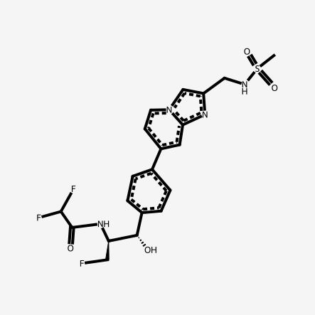 CS(=O)(=O)NCc1cn2ccc(-c3ccc([C@H](O)[C@@H](CF)NC(=O)C(F)F)cc3)cc2n1